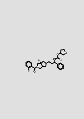 O=C(NC(CCN1CC2CN(C(=O)c3ccccc3Cl)C[C@@H]2C1)c1ccccc1)OC1CCOC1